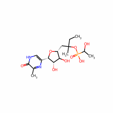 CCC(C)(C[C@H]1O[C@@H](c2c[nH]c(=O)c(C)n2)[C@@H](O)C1O)OP(=O)(O)C(C)O